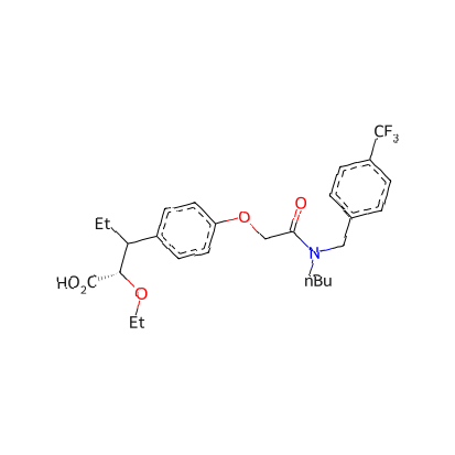 CCCCN(Cc1ccc(C(F)(F)F)cc1)C(=O)COc1ccc(C(CC)[C@H](OCC)C(=O)O)cc1